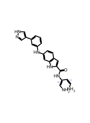 N/C=C\C(=C/N)NC(=O)c1cc2ccc(Nc3cccc(-c4cn[nH]c4)c3)cc2[nH]1